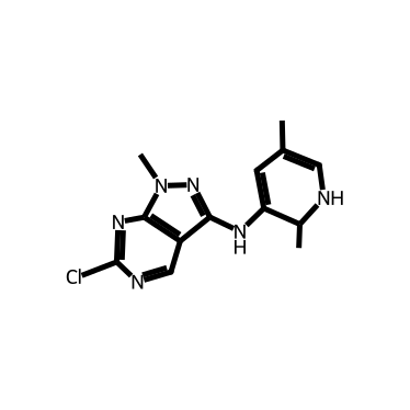 CC1=CNC(C)C(Nc2nn(C)c3nc(Cl)ncc23)=C1